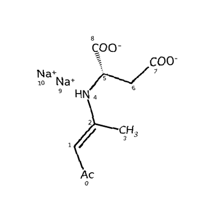 CC(=O)/C=C(\C)N[C@@H](CC(=O)[O-])C(=O)[O-].[Na+].[Na+]